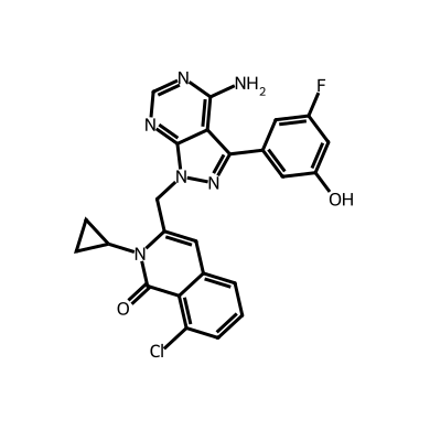 Nc1ncnc2c1c(-c1cc(O)cc(F)c1)nn2Cc1cc2cccc(Cl)c2c(=O)n1C1CC1